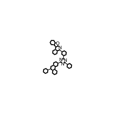 c1ccc(-c2nc(-c3cccc(-c4nc5oc6ccccc6c5c5ccccc45)c3)nc(-c3ccc4cc(-c5ccccc5)c5ccccc5c4c3)n2)cc1